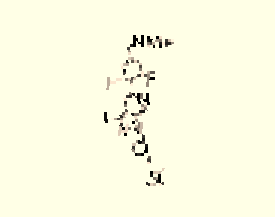 CNCc1cc(F)c(-c2cc3c(I)nn(COCC[Si](C)(C)C)c3cn2)c(F)c1